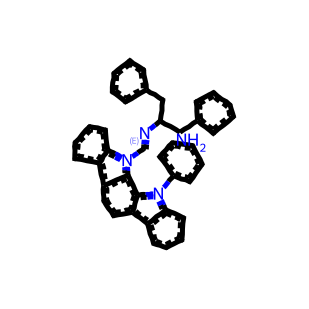 NC(c1ccccc1)C(Cc1ccccc1)/N=C/n1c2ccccc2c2ccc3c4ccccc4n(-c4ccccc4)c3c21